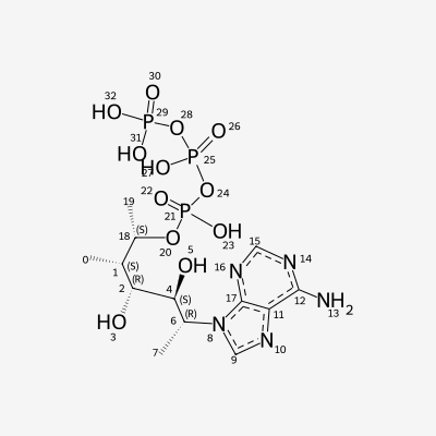 C[C@@H]([C@@H](O)[C@@H](O)[C@@H](C)n1cnc2c(N)ncnc21)[C@H](C)OP(=O)(O)OP(=O)(O)OP(=O)(O)O